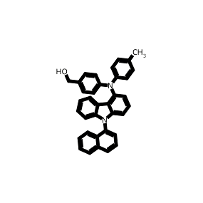 Cc1ccc(N(c2ccc(CO)cc2)c2cccc3c2c2ccccc2n3-c2cccc3ccccc23)cc1